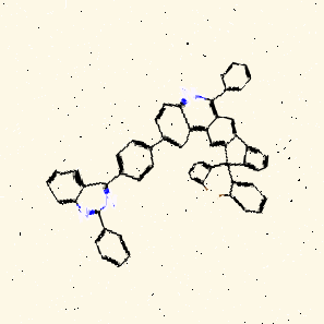 c1ccc(-c2nc(-c3ccc(-c4ccc5nc(-c6ccccc6)c6cc7c(cc6c5c4)C4(c5ccccc5Sc5ccccc54)c4ccccc4-7)cc3)c3ccccc3n2)cc1